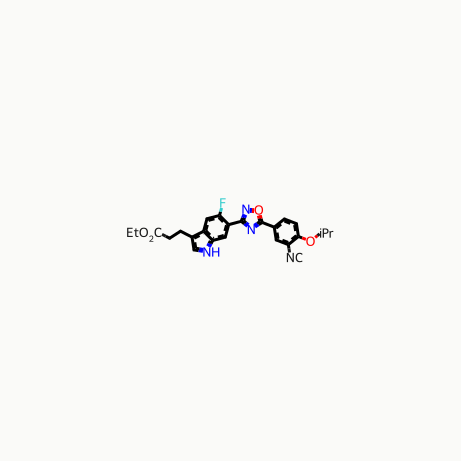 [C-]#[N+]c1cc(-c2nc(-c3cc4[nH]cc(CCC(=O)OCC)c4cc3F)no2)ccc1OC(C)C